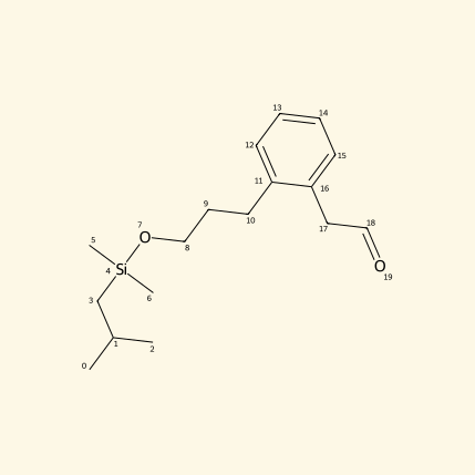 CC(C)C[Si](C)(C)OCCCc1ccccc1CC=O